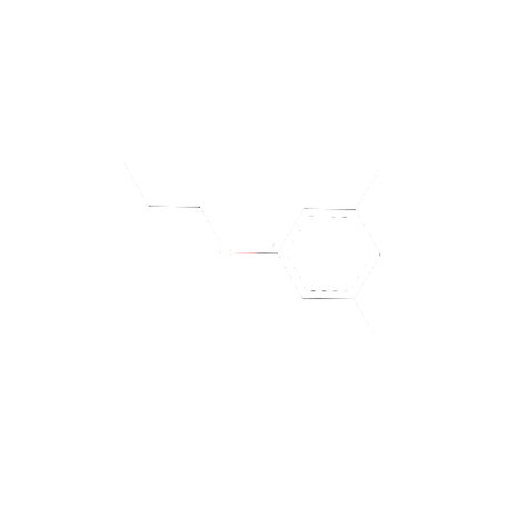 CCCOc1cc(C)cc(I)c1